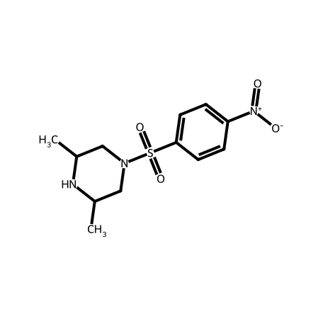 CC1CN(S(=O)(=O)c2ccc([N+](=O)[O-])cc2)CC(C)N1